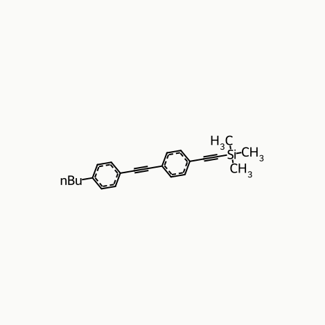 CCCCc1ccc(C#Cc2ccc(C#C[Si](C)(C)C)cc2)cc1